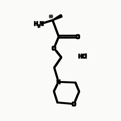 C[C@H](N)C(=O)OCCN1CCOCC1.Cl